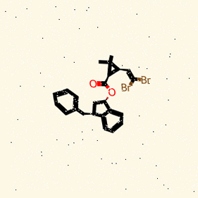 CC1(C)[C@H](C(=O)O[C@H]2C[C@H](Cc3ccccc3)c3ccccc32)[C@@H]1C=C(Br)Br